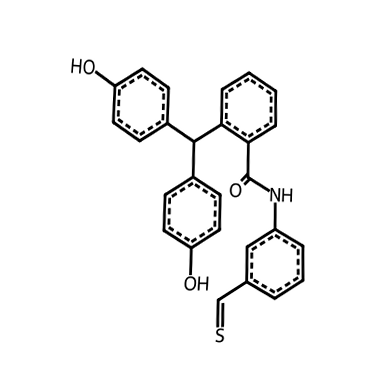 O=C(Nc1cccc(C=S)c1)c1ccccc1C(c1ccc(O)cc1)c1ccc(O)cc1